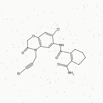 CCC#CCN1C(=O)COc2cc(Cl)c(NC(=O)C3=C(C(N)=O)CCCC3)cc21